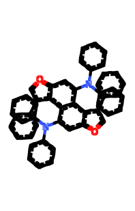 c1ccc(-c2coc3cc(N(c4ccccc4)c4ccccc4)c4c5c(-c6ccccc6)coc5cc(N(c5ccccc5)c5ccccc5)c4c23)cc1